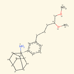 NC1(c2cccc(CCCC(CO[N+](=O)[O-])O[N+](=O)[O-])c2)C2CC3CC(C2)CC1C3